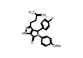 C=C(C)CCc1n[nH]c2c1C(c1ccc(F)cc1)N(c1ccc(OC)cc1)C2=O